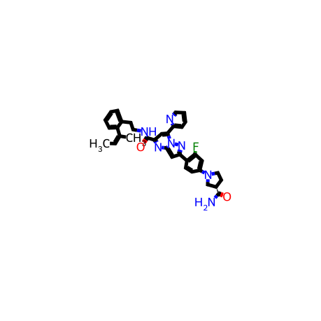 C/C=C(/C)c1ccccc1CCNC(=O)c1cc(-c2ccccn2)n2nc(-c3ccc(N4CC[C@H](C(N)=O)C4)cc3F)cc2n1